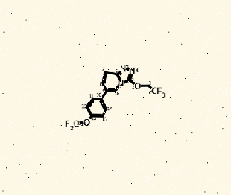 FC(F)(F)COc1nnc2ccc(-c3ccc(OC(F)(F)F)cc3)cn12